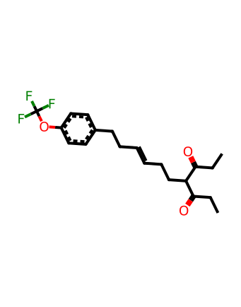 CCC(=O)C(CCC=CCCc1ccc(OC(F)(F)F)cc1)C(=O)CC